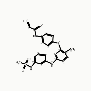 C=CC(=O)Nc1ccc(Sc2nc(Nc3cccc(NS(C)(=O)=O)c3)ncc2C)cc1